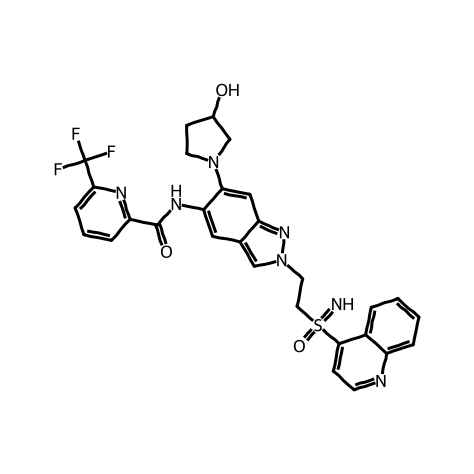 N=S(=O)(CCn1cc2cc(NC(=O)c3cccc(C(F)(F)F)n3)c(N3CCC(O)C3)cc2n1)c1ccnc2ccccc12